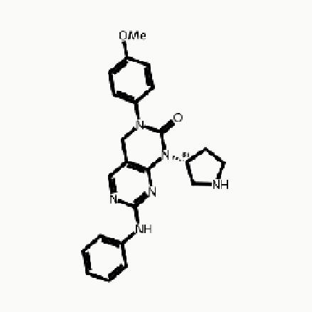 COc1ccc(N2Cc3cnc(Nc4ccccc4)nc3N([C@@H]3CCNC3)C2=O)cc1